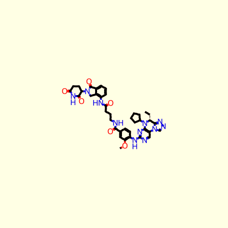 CC[C@@H]1c2nncn2-c2cnc(Nc3ccc(C(=O)NCCCC(=O)Nc4cccc5c4CN(C4CCC(=O)NC4=O)C5=O)cc3OC)nc2N1C1CCCC1